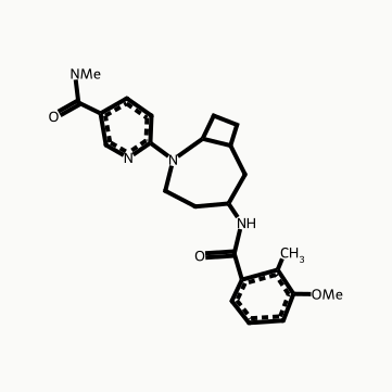 CNC(=O)c1ccc(N2CCC(NC(=O)c3cccc(OC)c3C)CC3CCC32)nc1